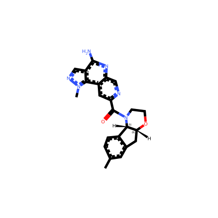 Cc1ccc2c(c1)C[C@H]1OCCN(C(=O)c3cc4c(cn3)nc(N)c3cnn(C)c34)[C@@H]21